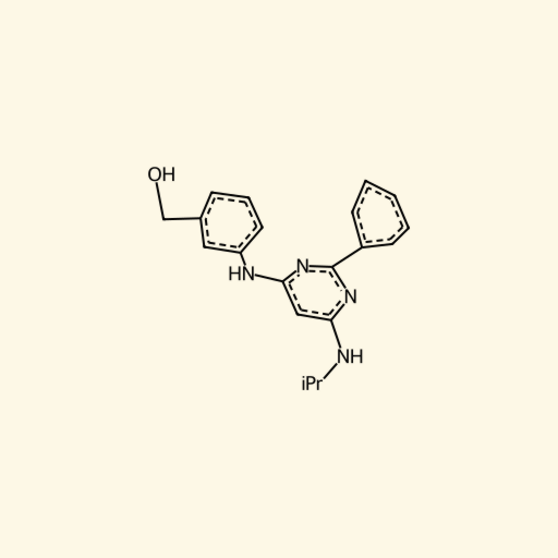 CC(C)Nc1cc(Nc2cccc(CO)c2)nc(-c2ccccc2)n1